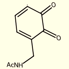 CC(=O)NCC1=CC=[C]C(=O)C1=O